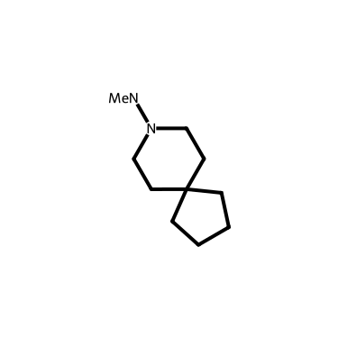 CNN1CCC2(CCCC2)CC1